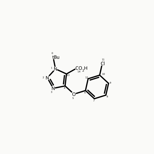 CC(C)(C)n1nnc(Oc2cccc(Cl)c2)c1C(=O)O